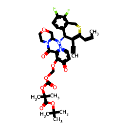 C#CC1=C(/C=C\C)SCc2c(ccc(F)c2F)[C@@H]1N1C2COCCN2C(=O)c2c(OCOC(=O)OC(C)(C)C(=O)OC(C)(C)C)c(=O)ccn21